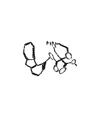 COC(=O)C1(C(=O)Oc2cccc3c2-c2ccccc2C3)CNCCO1